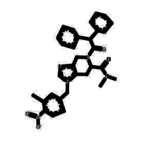 Cc1cc(Cn2cnc3c2CC(C(=O)N(C)C)N(C(=O)C(c2ccccc2)c2ccccc2)C3)ccc1[N+](=O)[O-]